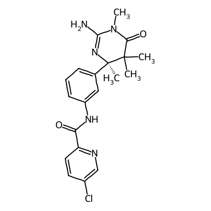 CN1C(=O)C(C)(C)[C@@](C)(c2cccc(NC(=O)c3ccc(Cl)cn3)c2)N=C1N